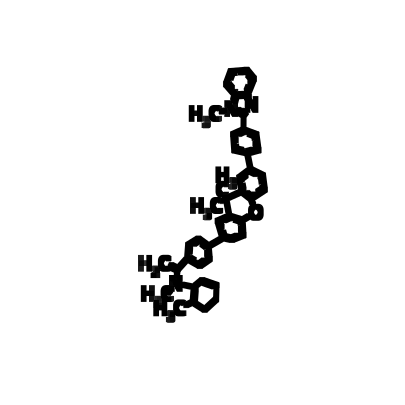 C=C(c1ccc(-c2ccc3c(c2)C(C)(C)c2cc(-c4ccc(-c5nc6ccccc6n5C)cc4)ccc2O3)cc1)N(C)C1=C(C)CCC=C1